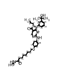 C=CCn1c(=O)c2cnc(Nc3ccc(OCCCCCCCC(=O)NO)cc3)nc2n1-c1cccc(C(C)(C)O)n1